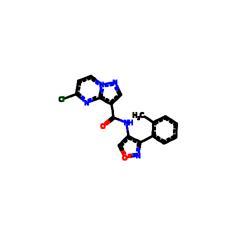 Cc1ccccc1-c1nocc1NC(=O)c1cnn2ccc(Cl)nc12